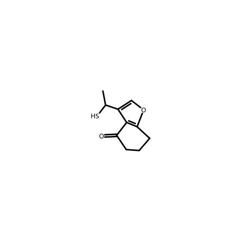 CC(S)c1coc2c1C(=O)CCC2